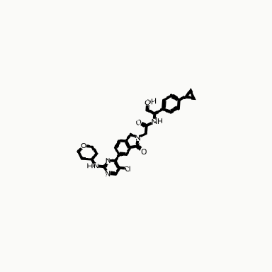 O=C(CN1Cc2ccc(-c3nc(NC4CCOCC4)ncc3Cl)cc2C1=O)NC(CO)c1ccc(C2CC2)cc1